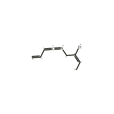 C=CC=C=NC/C(=C\C)CC